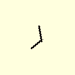 CCCCCCCCCCC[CH]C(C)CCCCCCCCCC